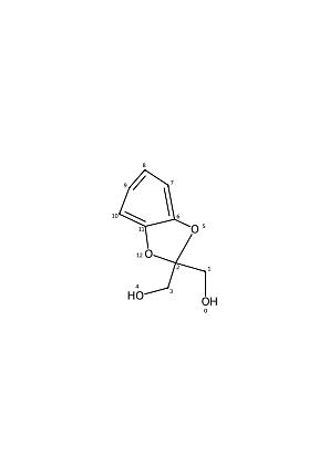 OCC1(CO)Oc2ccccc2O1